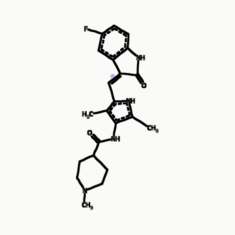 Cc1[nH]c(/C=C2\C(=O)Nc3ccc(F)cc32)c(C)c1NC(=O)C1CCN(C)CC1